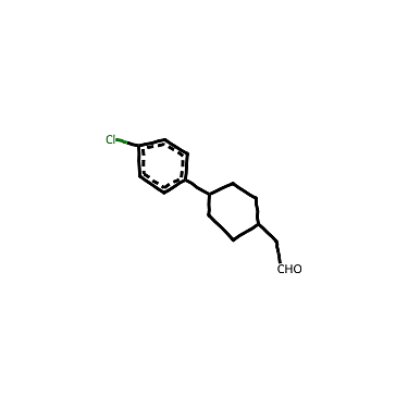 O=CCC1CCC(c2ccc(Cl)cc2)CC1